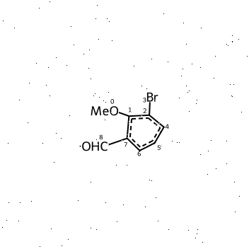 COc1c(Br)cccc1[C]=O